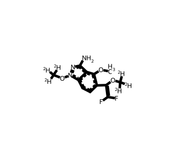 [2H]C([2H])([2H])OC(=C(F)F)c1ccc2c(c(N)nn2OC([2H])([2H])[2H])c1OC